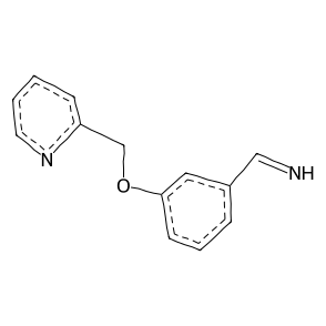 N=Cc1cccc(OCc2ccccn2)c1